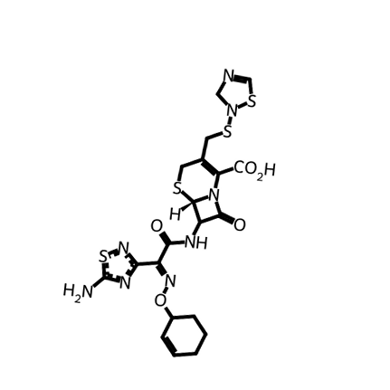 Nc1nc(C(=NOC2C=CCCC2)C(=O)NC2C(=O)N3C(C(=O)O)=C(CSN4CN=CS4)CS[C@@H]23)ns1